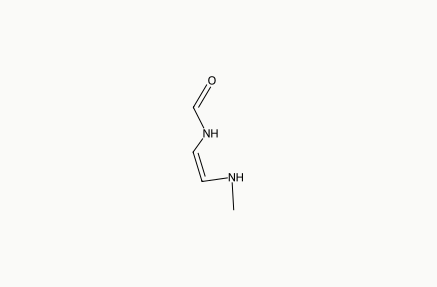 CN/C=C\NC=O